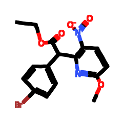 CCOC(=O)C(c1ccc(Br)cc1)c1nc(OC)ccc1[N+](=O)[O-]